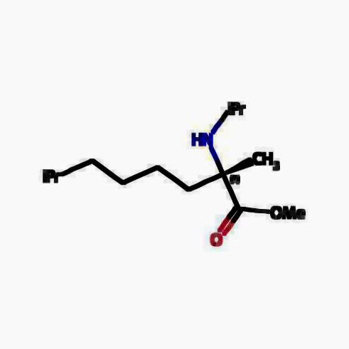 COC(=O)[C@](C)(CCCCC(C)C)NC(C)C